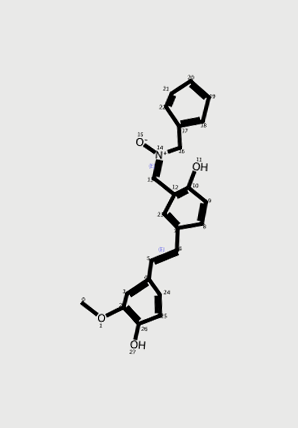 COc1cc(/C=C/c2ccc(O)c(/C=[N+](/[O-])Cc3ccccc3)c2)ccc1O